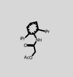 CC(=O)OCC(=O)Nc1c(C(C)C)cccc1C(C)C